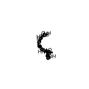 C=CCn1c(=O)c2cnc(Nc3ccc(N4CCN(CC5CCN(c6ccc(NC7CCC(=O)NC7=O)cc6F)CC5)CC4)cc3)nc2n1-c1ccc2c(n1)[C@@](C)(O)CCC2